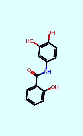 O=C(Nc1ccc(O)c(O)c1)c1c[c]ccc1O